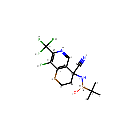 CC(C)(C)[S@+]([O-])NC1(C#N)CCSc2c1cnc(C(F)(F)F)c2F